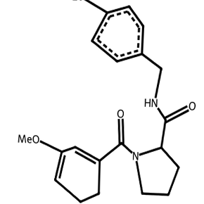 CCc1ccc(CNC(=O)C2CCCN2C(=O)C2=CC(OC)=CCC2)cc1